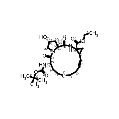 CCOC(=O)[C@@]12CC1/C=C\CCOCC[C@H](NC(=O)OC(C)(C)C)C(=O)N1C[C@H](O)C[C@H]1C(=O)N2